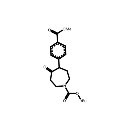 COC(=O)c1ccc(C2CCN(C(=O)OC(C)(C)C)CCC2=O)cc1